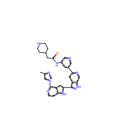 Cc1cn(-c2nccc3[nH]c(-c4n[nH]c5cnc(-c6cncc(NC(=O)CC7CCNCC7)c6)cc45)cc23)cn1